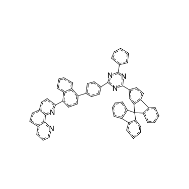 c1ccc(-c2nc(-c3ccc(-c4ccc(-c5ccc6ccc7cccnc7c6n5)c5ccccc45)cc3)nc(-c3ccc4c(c3)C3(c5ccccc5-c5ccccc53)c3ccccc3-4)n2)cc1